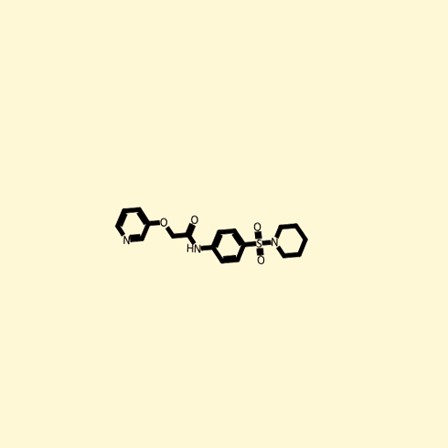 O=C(COc1cccnc1)Nc1ccc(S(=O)(=O)N2CCCCC2)cc1